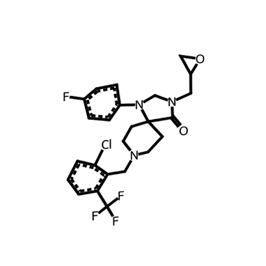 O=C1N(CC2CO2)CN(c2ccc(F)cc2)C12CCN(Cc1c(Cl)cccc1C(F)(F)F)CC2